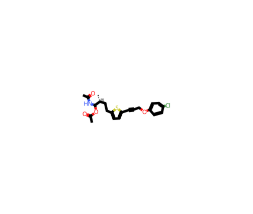 CC(=O)NC(OC(C)=O)[C@H](C)CCc1ccc(C#CCOc2ccc(Cl)cc2)s1